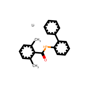 Cc1cccc(C)c1C(=O)Pc1ccccc1-c1ccccc1.[Li]